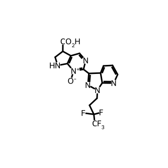 O=C(O)C1CNc2c1cnc(-c1nn(CCC(F)(F)C(F)(F)F)c3ncccc13)[n+]2[O-]